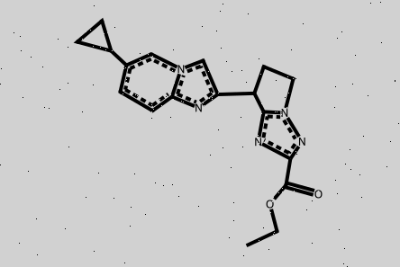 CCOC(=O)c1nc2n(n1)CCC2c1cn2cc(C3CC3)ccc2n1